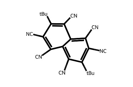 [C-]#[N+]c1c(C(C)(C)C)c([N+]#[C-])c2c([N+]#[C-])c(C#N)c(C(C)(C)C)c(C#N)c2c1C#N